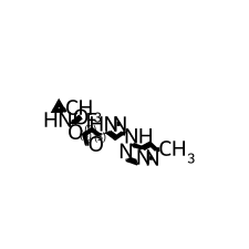 Cc1cc2c(Nc3cc([C@@H]4OC[C@H](OC(=O)NC5(C)CC5)[C@@H]4F)[nH]n3)nccn2n1